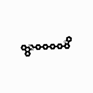 c1ccc2c(c1)oc1c(-c3ccc(-c4ccc(-c5ccc(-c6ccc(-c7cnc8c9ccccc9c9ccccc9c8n7)cc6)cc5)cc4)cc3)cccc12